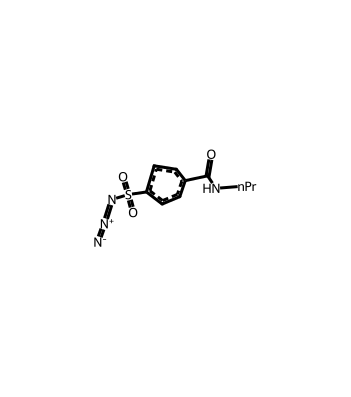 CCCNC(=O)c1ccc(S(=O)(=O)N=[N+]=[N-])cc1